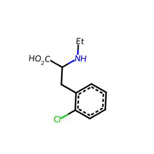 CCNC(Cc1ccccc1Cl)C(=O)O